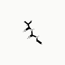 C=COC(=O)OC(=O)C(C)C